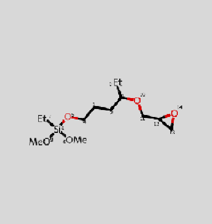 CCC(CCCO[Si](CC)(OC)OC)OCC1CO1